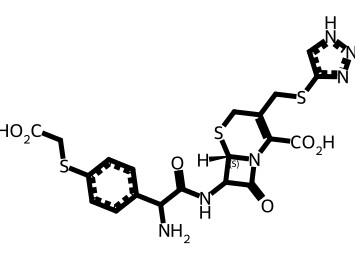 NC(C(=O)NC1C(=O)N2C(C(=O)O)=C(CSc3c[nH]nn3)CS[C@@H]12)c1ccc(SCC(=O)O)cc1